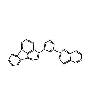 c1cc(-c2ccc3cnccc3c2)cc(-c2ccc3c4c(cccc24)-c2ccccc2-3)c1